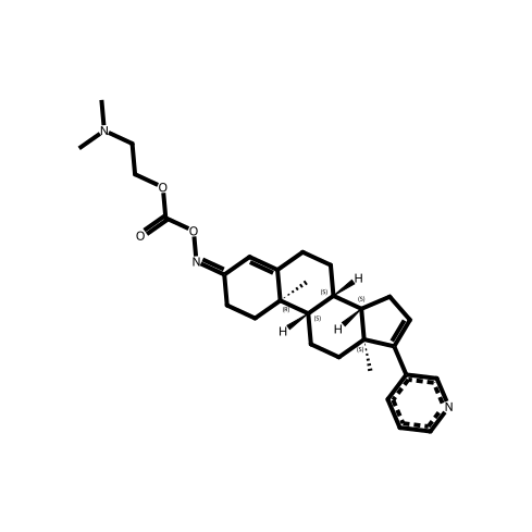 CN(C)CCOC(=O)ON=C1C=C2CC[C@H]3[C@H](CC[C@]4(C)C(c5cccnc5)=CC[C@@H]34)[C@@]2(C)CC1